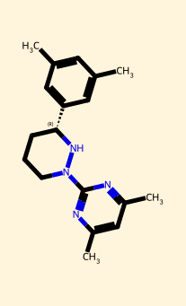 Cc1cc(C)cc([C@H]2CCCN(c3nc(C)cc(C)n3)N2)c1